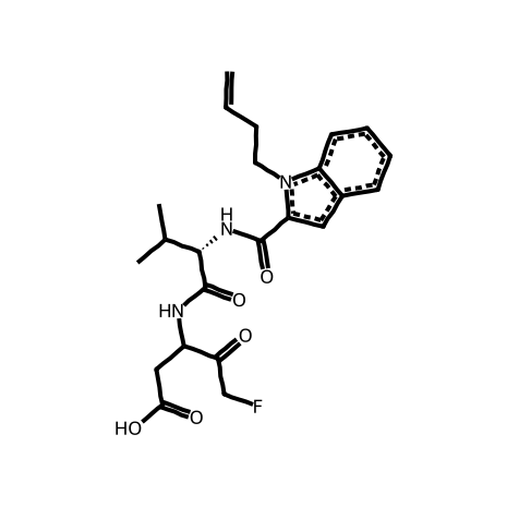 C=CCCn1c(C(=O)N[C@H](C(=O)NC(CC(=O)O)C(=O)CF)C(C)C)cc2ccccc21